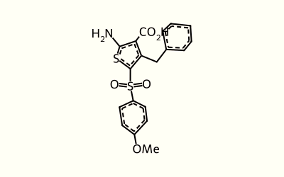 COc1ccc(S(=O)(=O)c2sc(N)c(C(=O)O)c2Cc2ccccc2)cc1